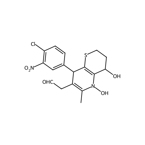 CC1=C(CC=O)C(c2ccc(Cl)c([N+](=O)[O-])c2)C2=C(C(O)CCS2)N1O